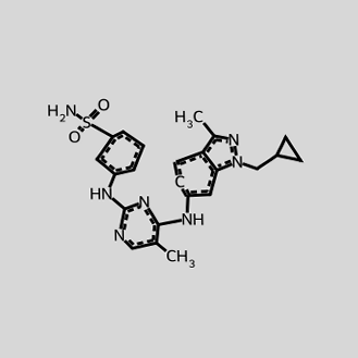 Cc1cnc(Nc2cccc(S(N)(=O)=O)c2)nc1Nc1ccc2c(C)nn(CC3CC3)c2c1